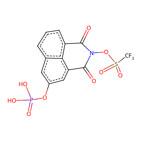 O=C1c2cccc3cc(OP(=O)(O)O)cc(c23)C(=O)N1OS(=O)(=O)C(F)(F)F